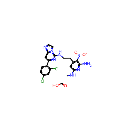 CNc1cc(CCNc2nc(-c3ccc(Cl)cc3Cl)cc3nccn23)c([N+](=O)[O-])c(N)n1.O=CO